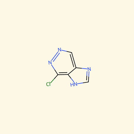 Clc1nncc2nc[nH]c12